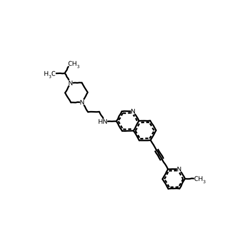 Cc1cccc(C#Cc2ccc3ncc(NCCN4CCN(C(C)C)CC4)cc3c2)n1